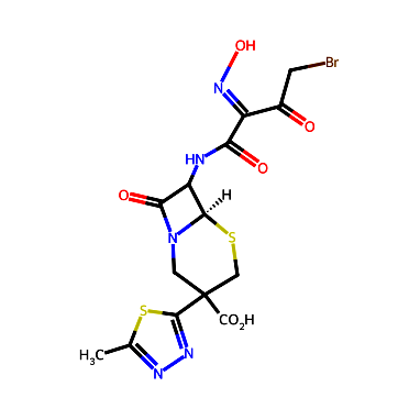 Cc1nnc(C2(C(=O)O)CS[C@@H]3C(NC(=O)C(=NO)C(=O)CBr)C(=O)N3C2)s1